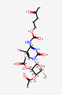 CC(=O)CCCOC(=O)Nc1nc(=O)n([C@@H]2O[C@H](C)[C@@H](OC(C)=O)[C@H]2OC(C)=O)cc1I